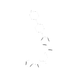 O=C(NC[C@H](NC(=O)c1cccs1)C(=O)O)c1ccc(N2CCC(C3CCNCC3)CC2)cc1